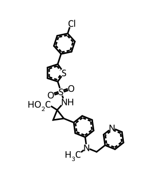 CN(Cc1cccnc1)c1cccc(C2CC2(NS(=O)(=O)c2ccc(-c3ccc(Cl)cc3)s2)C(=O)O)c1